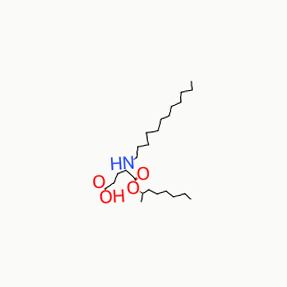 CCCCCCCCCCCCNC(CCC(=O)O)C(=O)OC(C)CCCCCC